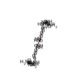 N=C(NCCc1ccc(OCCOCCOCCNC(=O)NCCCCNC(=O)NCCOCCOCCOc2ccc(CCNC(=N)NC(=O)c3nc(Cl)c(N)nc3N)cc2)cc1)NC(=O)c1nc(Cl)c(N)nc1N